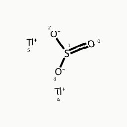 O=S([O-])[O-].[Tl+].[Tl+]